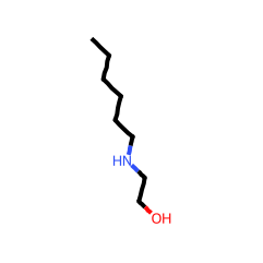 CCCCCCNCCO